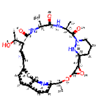 CC(C)[C@@H]1NC(=O)[C@@H]([C@H](C)O)/C=C/c2ccc3ccc(nc3c2)[C@@H](C)OC2OC2[C@@H]2CCCN(N2)C(=O)[C@H](C)NC1=O